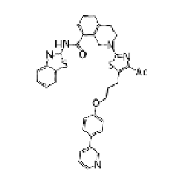 CC(=O)c1nc(N2CCc3cccc(C(=O)Nc4nc5ccccc5s4)c3C2)sc1CCCOc1ccc(-c2cccnc2)cc1